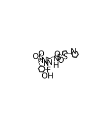 COC(=O)[C@H](Cc1ccc(O)c(F)c1)n1cc(CNS(=O)(=O)c2ccc(-c3ccccn3)s2)nn1